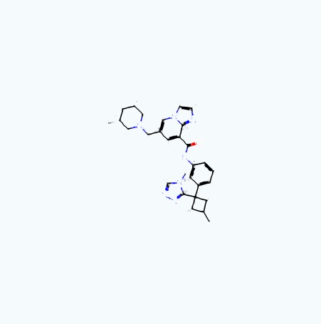 CC1CC(c2cccc(NC(=O)c3cc(CN4CCC[C@H](C)C4)cn4ccnc34)c2)(c2nncn2C)C1